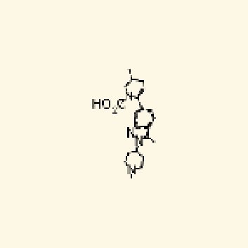 Cc1c2ccc(C3=CC[C@H](C)CN3C(=O)O)cc2nn1C1CCN(C)CC1